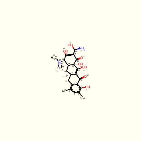 CC(=O)c1cc(C(C)=O)c2c(c1O)C(=O)C1=C(O)[C@]3(O)C(=O)C(C(N)O)=C(O)[C@@H](N(C)C)[C@@H]3C[C@@H]1C2